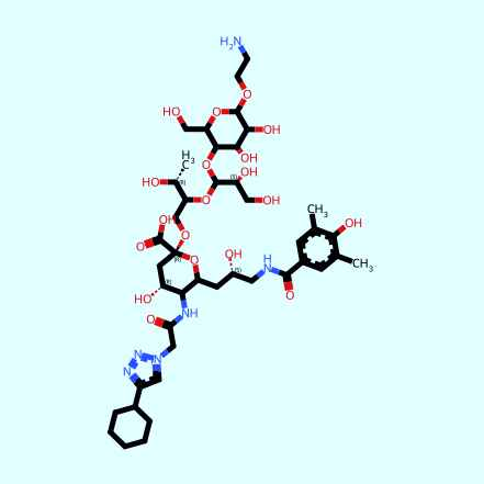 Cc1cc(C(=O)NC[C@@H](O)CC2O[C@@](OCC(OC(OC3C(CO)OC(OCCN)C(O)C3O)[C@@H](O)CO)[C@@H](C)O)(C(=O)O)C[C@@H](O)C2NC(=O)Cn2cc(C3CCCCC3)nn2)cc(C)c1O